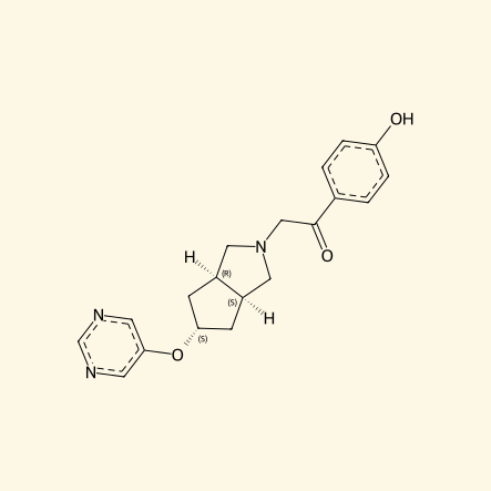 O=C(CN1C[C@H]2C[C@H](Oc3cncnc3)C[C@H]2C1)c1ccc(O)cc1